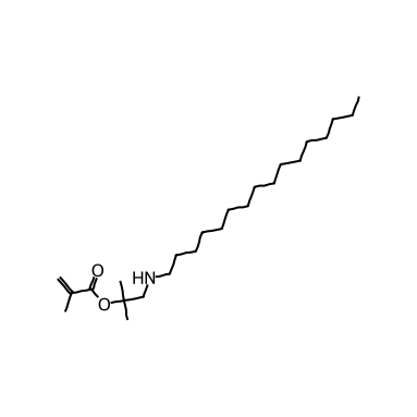 C=C(C)C(=O)OC(C)(C)CNCCCCCCCCCCCCCCCC